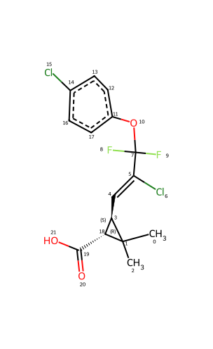 CC1(C)[C@H](C=C(Cl)C(F)(F)Oc2ccc(Cl)cc2)[C@H]1C(=O)O